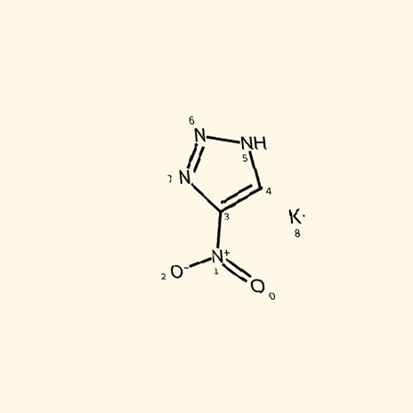 O=[N+]([O-])c1c[nH]nn1.[K]